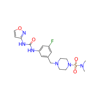 CN(C)S(=O)(=O)N1CCN(Cc2cc(F)cc(NC(=O)Nc3ccon3)c2)CC1